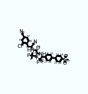 CC(C)(F)C[C@H](N[C@@H](c1ccc(-c2ccc(S(C)(=O)=O)cc2)cc1)C(F)(F)F)C(=O)NC(C#N)Cc1ccc(C#N)cc1Cl